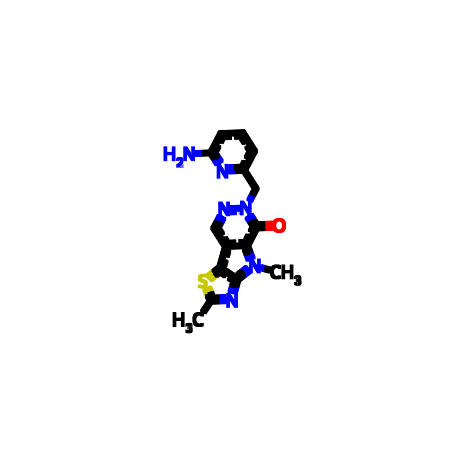 Cc1nc2c(s1)c1cnn(Cc3cccc(N)n3)c(=O)c1n2C